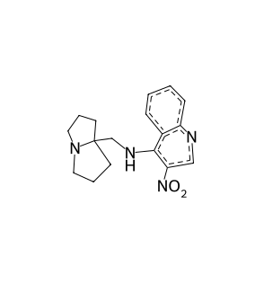 O=[N+]([O-])c1cnc2ccccc2c1NCC12CCCN1CCC2